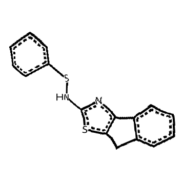 c1ccc(SNc2nc3c(s2)Cc2ccccc2-3)cc1